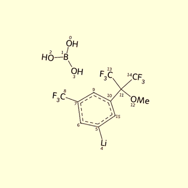 OB(O)O.[Li][c]1cc(C(F)(F)F)cc(C(OC)(C(F)(F)F)C(F)(F)F)c1